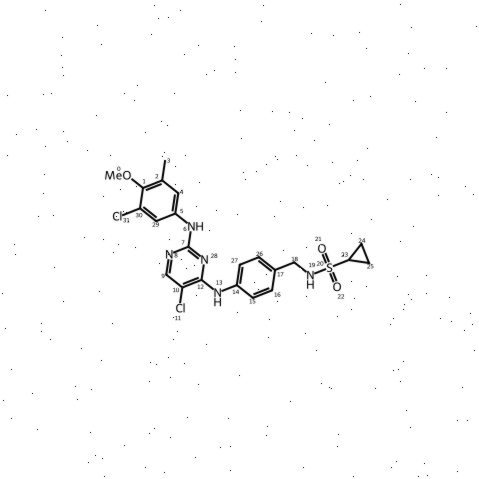 COc1c(C)cc(Nc2ncc(Cl)c(Nc3ccc(CNS(=O)(=O)C4CC4)cc3)n2)cc1Cl